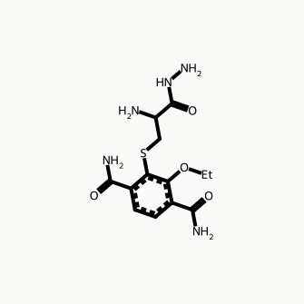 CCOc1c(C(N)=O)ccc(C(N)=O)c1SCC(N)C(=O)NN